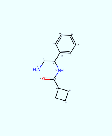 NCC(NC(=O)C1CCC1)c1ccccc1